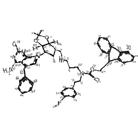 CC1(C)O[C@@H]2[C@@H](CNCCCN(CCc3ccc(F)cc3)C(=O)OCC3c4ccccc4-c4ccccc43)C[C@@H](n3cc(-c4ccccc4)c4c(N)nc(Cl)nc43)[C@@H]2O1